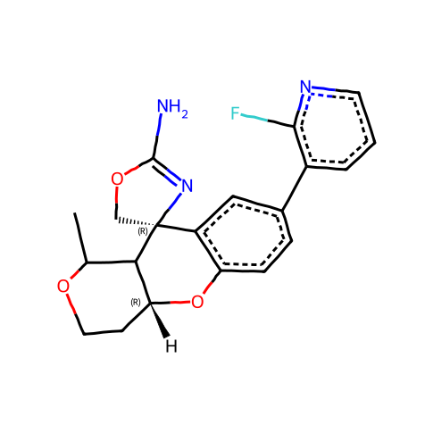 CC1OCC[C@H]2Oc3ccc(-c4cccnc4F)cc3[C@@]3(COC(N)=N3)C12